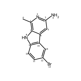 Cc1nc(N)cc2c1[nH]c1ccc(Br)cc12